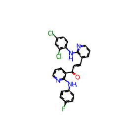 O=C(C=Cc1cccnc1Nc1ccc(Cl)cc1Cl)c1cccnc1Nc1ccc(F)cc1